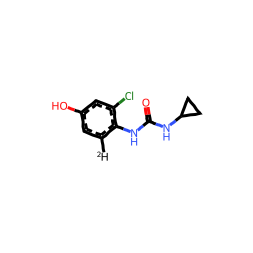 [2H]c1cc(O)cc(Cl)c1NC(=O)NC1CC1